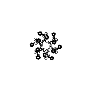 O=c1cccc(CN2CCN(Cc3cccc(=O)n3OCc3ccccc3)CCN(Cc3cccc(=O)n3OCc3ccccc3)CCN(Cc3cccc(=O)n3OCc3ccccc3)CCN(Cc3cccc(=O)n3OCc3ccccc3)CCN(Cc3cccc(=O)n3OCc3ccccc3)CC2)n1OCc1ccccc1